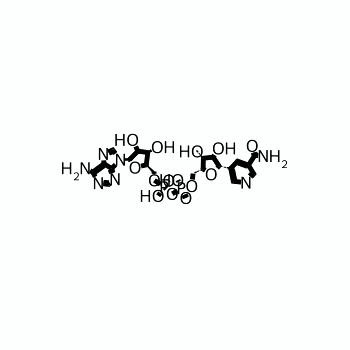 NC(=O)c1cncc([C@@H]2O[C@H](COP(=O)(O)OP(=O)(O)OC[C@H]3O[C@@H](n4cnc5c(N)ncnc54)C(O)[C@H]3O)[C@H](O)C2O)c1